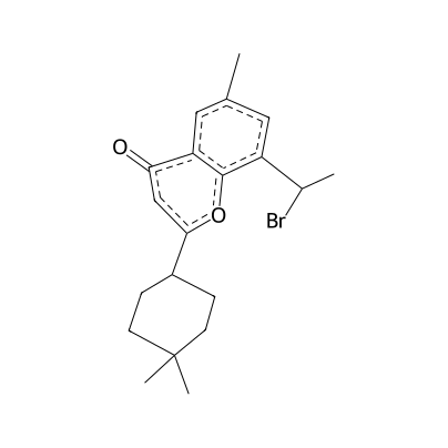 Cc1cc(C(C)Br)c2oc(C3CCC(C)(C)CC3)cc(=O)c2c1